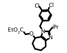 CCOC(=O)COC1CCCCc2nc(C(C)C)n(Cc3ccc(Cl)c(Cl)c3)c21